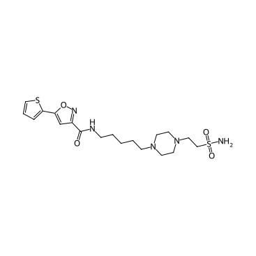 NS(=O)(=O)CCN1CCN(CCCCCNC(=O)c2cc(-c3cccs3)on2)CC1